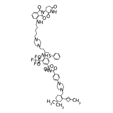 CC1(C)CCC(CN2CCN(c3ccc(C(=O)NS(=O)(=O)c4ccc(NC(CCN5CCN(CCCCCNc6cccc7c6C(=O)N(C6CCC(=O)NC6=O)C7=O)CC5)CSc5ccccc5)c(S(=O)(=O)C(F)(F)F)c4)cc3)CC2)=C(C23CC(C)(C2)C3)C1